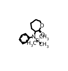 C[Si](C)(C)N(c1ccccc1)C1CCCCOC1=O